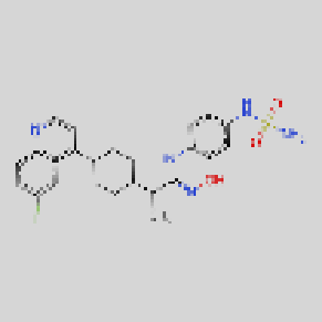 CC(/C(=N/O)Nc1ccc(NS(N)(=O)=O)cc1)C1CCC(c2ccnc3ccc(F)cc23)CC1